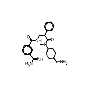 CN(C(=O)[C@@H](CNC(=O)c1cccc(C(=N)N)c1)c1ccccc1)C1CCC(CN)CC1